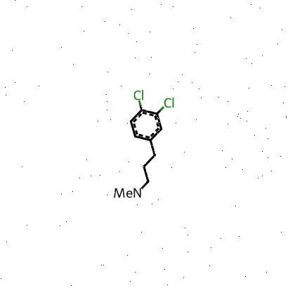 CNCCCc1ccc(Cl)c(Cl)c1